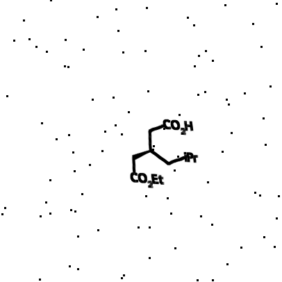 CCOC(=O)C[C@@H](CC(=O)O)CC(C)C